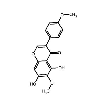 COc1ccc(-c2coc3cc(O)c(OC)c(O)c3c2=O)cc1